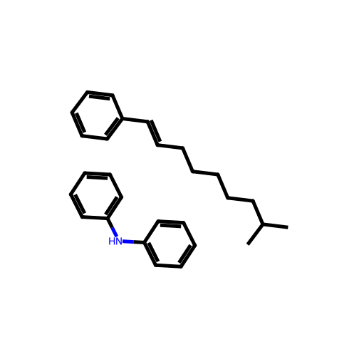 CC(C)CCCCCC=Cc1ccccc1.c1ccc(Nc2ccccc2)cc1